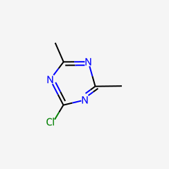 Cc1nc(C)nc(Cl)n1